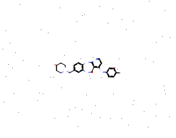 Cc1cc(F)c(Nc2ccnc3c2C(=O)Nc2cc(CN4CCC(O)CC4)ccc2N3)cc1O